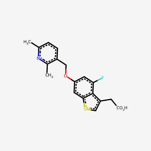 Cc1ccc(COc2cc(F)c3c(CC(=O)O)csc3c2)c(C)n1